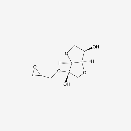 O[C@@H]1CO[C@H]2[C@@H]1OC[C@]2(O)OCC1CO1